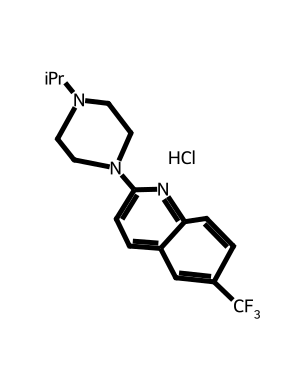 CC(C)N1CCN(c2ccc3cc(C(F)(F)F)ccc3n2)CC1.Cl